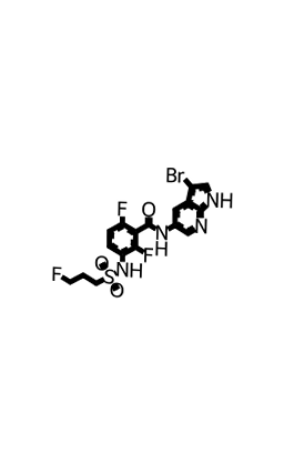 O=C(Nc1cnc2[nH]cc(Br)c2c1)c1c(F)ccc(NS(=O)(=O)CCCF)c1F